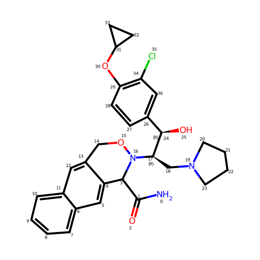 NC(=O)C1c2cc3ccccc3cc2CON1[C@H](CN1CCCC1)[C@H](O)c1ccc(OC2CC2)c(Cl)c1